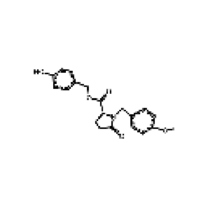 COc1ccc(CN2C(=O)CC[C@H]2C(=O)OCc2ccc(O)cc2)cc1